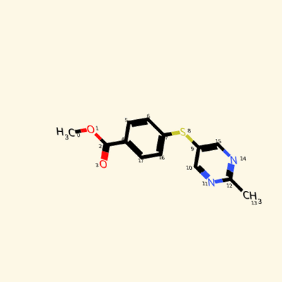 COC(=O)c1ccc(Sc2cnc(C)nc2)cc1